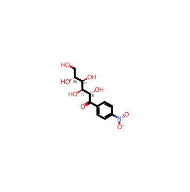 O=C(c1ccc([N+](=O)[O-])cc1)[C@@H](O)[C@@H](O)[C@H](O)[C@H](O)CO